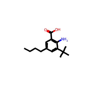 CCCCc1cc(C(=O)O)c(N)c(C(C)(C)C)c1